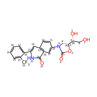 O=C1O[C@@H]([C@H](O)CO)CN1c1ccc2cc(-c3ccccc3C(F)(F)F)[nH]c(=O)c2c1